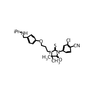 CC(C)NCc1ccc(OCCCN2C(=S)N(c3ccc(C#N)c(Cl)c3)C(=O)C2(C)C)cc1